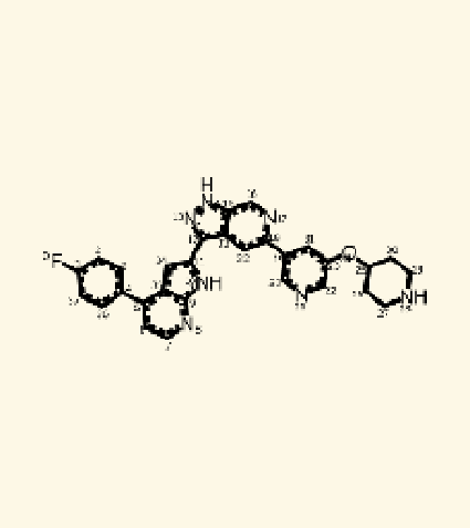 Fc1ccc(-c2ccnc3[nH]c(-c4n[nH]c5cnc(-c6cncc(OC7CCNCC7)c6)cc45)cc23)cc1